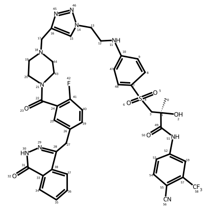 C[C@@](O)(CS(=O)(=O)c1ccc(NCCn2cc(CN3CCN(C(=O)c4cc(Cc5n[nH]c(=O)c6ccccc56)ccc4F)CC3)nn2)cc1)C(=O)Nc1ccc(C#N)c(C(F)(F)F)c1